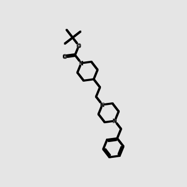 CC(C)(C)OC(=O)N1CCC(CCN2CCN(Cc3ccccc3)CC2)CC1